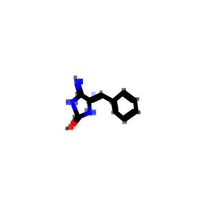 N=C1NC(=O)N/C1=C\c1ccccc1